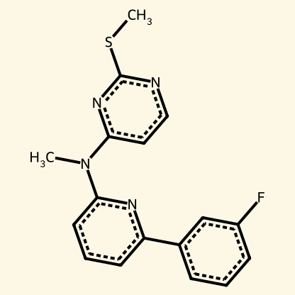 CSc1nccc(N(C)c2cccc(-c3cccc(F)c3)n2)n1